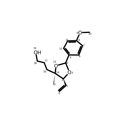 C=C[C@@H]1OC(c2ccc(OC)cc2)O[C@]1(C)CCCO